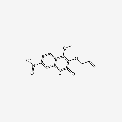 C=CCOc1c(OC)c2ccc([N+](=O)[O-])cc2[nH]c1=O